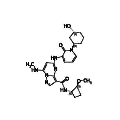 CNc1cc(Nc2cccn([C@@H]3CCC[C@@H](O)C3)c2=O)nc2c(C(=O)N[C@H]3CC[C@@H]3OC)cnn12